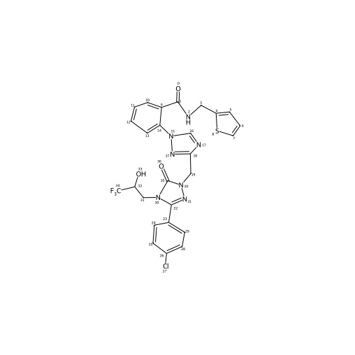 O=C(NCc1cccs1)c1ccccc1-n1cnc(Cn2nc(-c3ccc(Cl)cc3)n(CC(O)C(F)(F)F)c2=O)n1